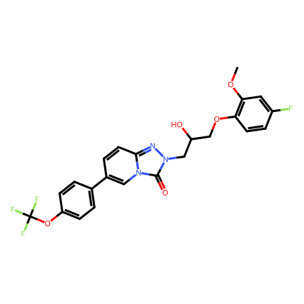 COc1cc(F)ccc1OCC(O)Cn1nc2ccc(-c3ccc(OC(F)(F)F)cc3)cn2c1=O